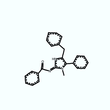 Cn1c(-c2ccccc2)c(Cc2ccccc2)[nH]/c1=N\C(=O)c1ccccc1